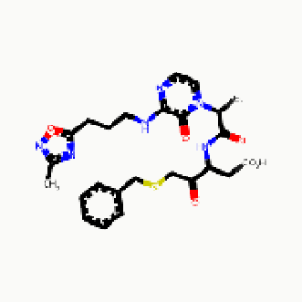 CCC(C(=O)NC(CC(=O)O)C(=O)CSCc1ccccc1)n1ccnc(NCCCc2nc(C)no2)c1=O